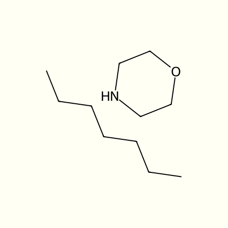 C1COCCN1.CCCCCCC